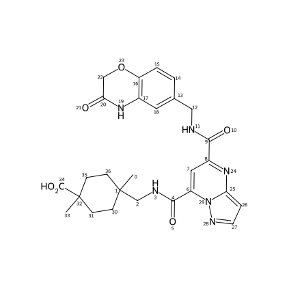 CC1(CNC(=O)c2cc(C(=O)NCc3ccc4c(c3)NC(=O)CO4)nc3ccnn23)CCC(C)(C(=O)O)CC1